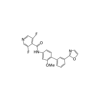 COc1cc(NC(=O)c2c(F)cncc2F)ccc1-c1cccc(-c2ncco2)c1